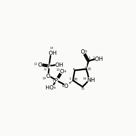 O=C(O)[C@@H]1C[C@@H](OP(=O)(O)OP(=O)(O)O)CN1